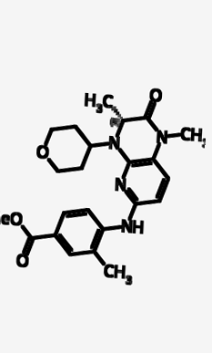 COC(=O)c1ccc(Nc2ccc3c(n2)N(C2CCOCC2)[C@H](C)C(=O)N3C)c(C)c1